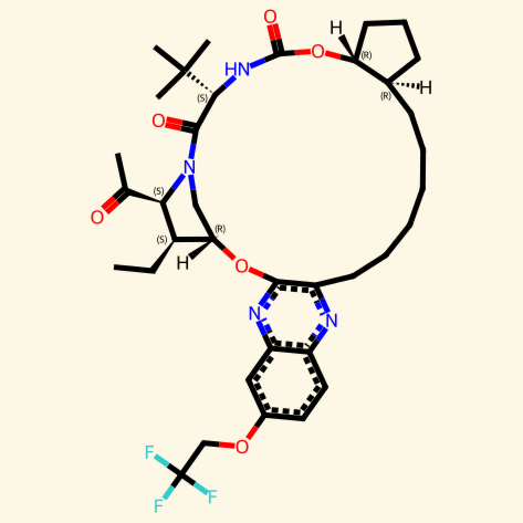 CC[C@@H]1[C@@H]2CN(C(=O)[C@H](C(C)(C)C)NC(=O)O[C@@H]3CCC[C@H]3CCCCCCc3nc4ccc(OCC(F)(F)F)cc4nc3O2)[C@@H]1C(C)=O